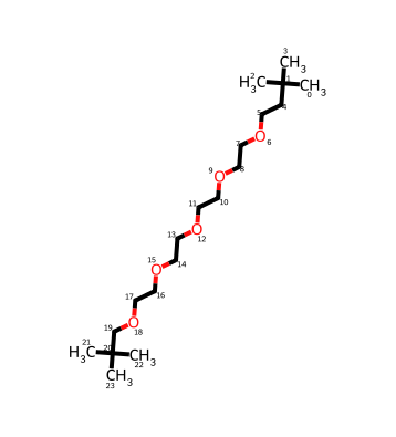 CC(C)(C)CCOCCOCCOCCOCCOCC(C)(C)C